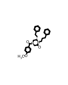 COc1ccc(C(=O)N2CC(=O)N(CCCc3ccccc3)[C@@H](CCc3ccccc3)C2)cc1